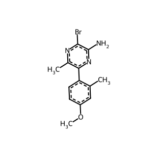 COc1ccc(-c2nc(N)c(Br)nc2C)c(C)c1